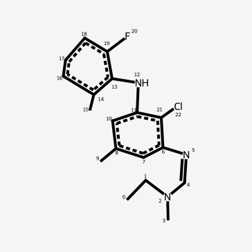 CCN(C)/C=N\c1cc(C)cc(Nc2c(C)cccc2F)c1Cl